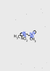 Cc1ccn2nc(CCc3nc(N4CCCC4)nn3C)nc2c1[N+](=O)[O-]